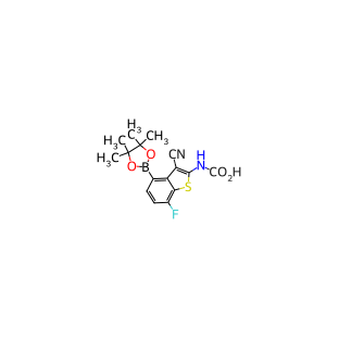 CC1(C)OB(c2ccc(F)c3sc(NC(=O)O)c(C#N)c23)OC1(C)C